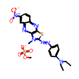 CCN(CC)c1ccc(/N=N/c2sc3nc4ccc([N+](=O)[O-])cc4nc3[n+]2C)cc1.COS(=O)(=O)[O-]